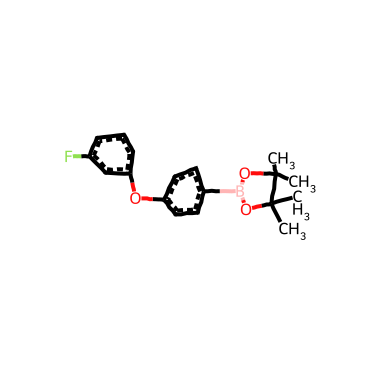 CC1(C)OB(c2ccc(Oc3cccc(F)c3)cc2)OC1(C)C